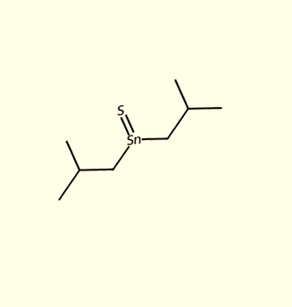 CC(C)[CH2][Sn](=[S])[CH2]C(C)C